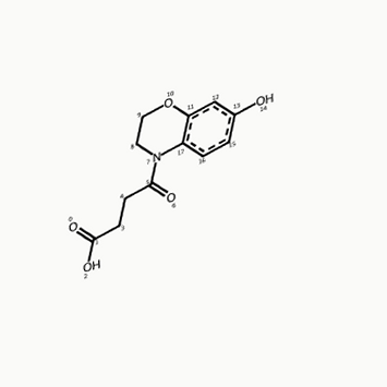 O=C(O)CCC(=O)N1CCOc2cc(O)ccc21